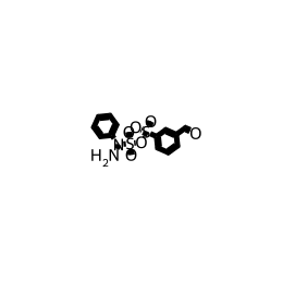 NN(c1ccccc1)S(=O)(=O)OS(=O)(=O)c1cccc(C=O)c1